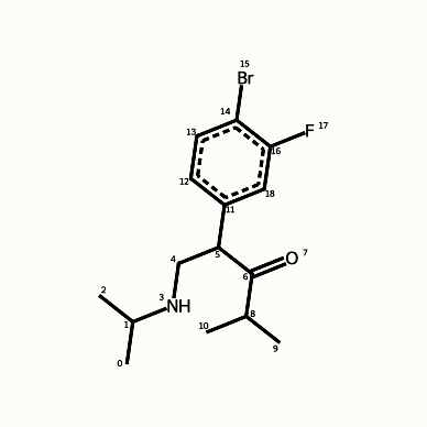 CC(C)NCC(C(=O)C(C)C)c1ccc(Br)c(F)c1